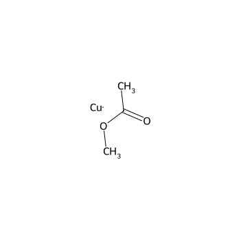 COC(C)=O.[Cu]